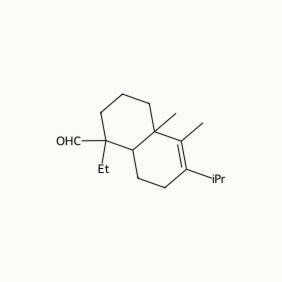 CCC1(C=O)CCCC2(C)C(C)=C(C(C)C)CCC12